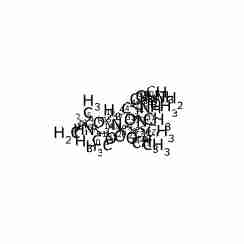 C=C1CC1(CC)NC(=O)C(C)C(OC)C1CCCN1C(=O)CC(OC)C(C(C)CC)N(C)C(=O)C(NC(=O)C(C)(C)N)C(C)C